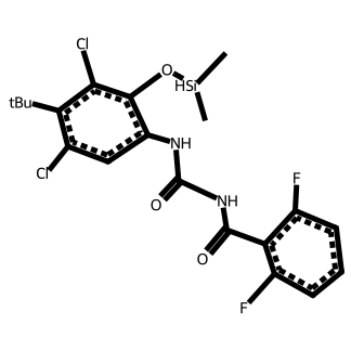 C[SiH](C)Oc1c(NC(=O)NC(=O)c2c(F)cccc2F)cc(Cl)c(C(C)(C)C)c1Cl